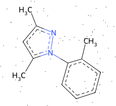 Cc1cc(C)n(-c2ccc[c]c2C)n1